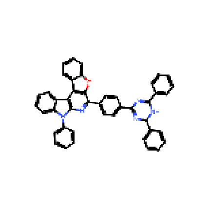 c1ccc(C2=NC(c3ccc(-c4nc5c(c6ccccc6n5-c5ccccc5)c5c4oc4ccccc45)cc3)=NC(c3ccccc3)N2)cc1